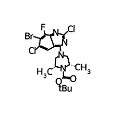 C[C@@H]1CN(c2nc(Cl)nc3c(F)c(Br)c(Cl)cc23)C[C@H](C)N1C(=O)OC(C)(C)C